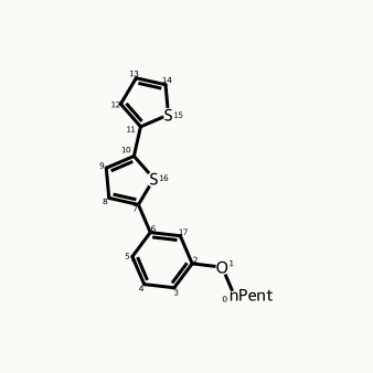 CCCCCOc1cc[c]c(-c2ccc(-c3cccs3)s2)c1